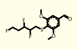 COc1cc(C=O)cc(OC)c1SCC(F)C(F)CCF